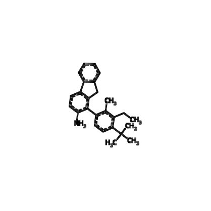 CCc1c(C(C)(C)C)ccc(-c2c(N)ccc3c2Cc2ccccc2-3)c1C